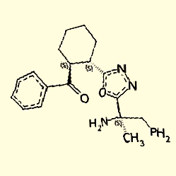 C[C@@](N)(CP)c1nnc([C@H]2CCCC[C@@H]2C(=O)c2ccccc2)o1